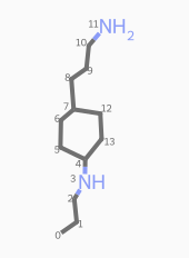 CCCNC1CCC(CCCN)CC1